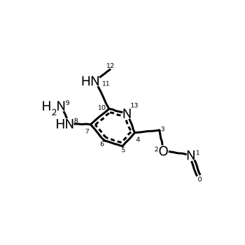 C=NOCc1ccc(NN)c(NC)n1